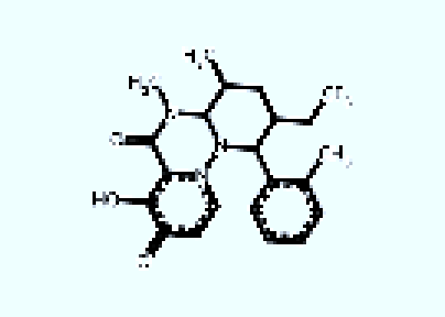 Cc1ccccc1C1C(CC(F)(F)F)CC(C)C2N(C)C(=O)c3c(O)c(=O)ccn3N12